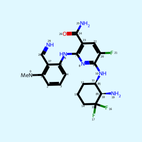 CNc1cccc(Nc2nc(N[C@@H]3CCCC(F)(F)[C@@H]3N)c(F)cc2C(N)=O)c1C=N